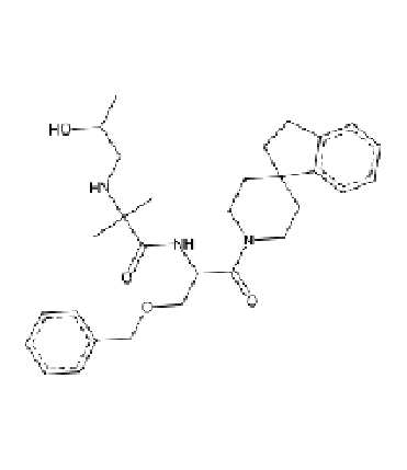 CC(O)CNC(C)(C)C(=O)NC(COCc1ccccc1)C(=O)N1CCC2(CCc3ccccc32)CC1